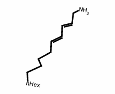 CCCCCCCCCC/C=C/C=C/CN